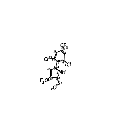 O=S=c1[nH]n(-c2c(Cl)cc(C(F)(F)F)cc2Cl)cc1C(F)(F)F